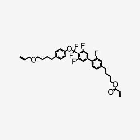 C=CCOCCCCc1ccc(OC(F)(F)c2c(F)cc(-c3ccc(CCCCOC(=O)C=C)cc3F)cc2F)cc1